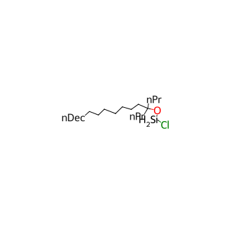 CCCCCCCCCCCCCCCCCC(CCC)(CCC)O[SiH2]Cl